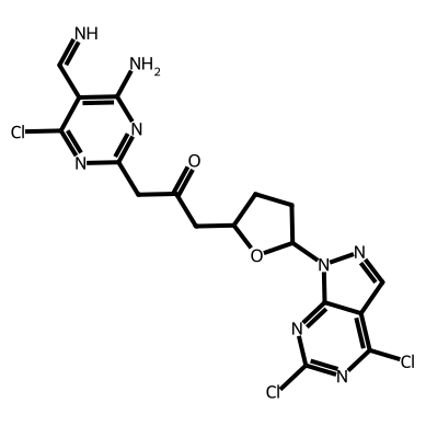 N=Cc1c(N)nc(CC(=O)CC2CCC(n3ncc4c(Cl)nc(Cl)nc43)O2)nc1Cl